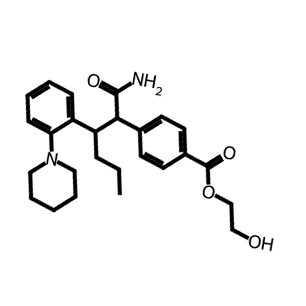 CCCC(c1ccccc1N1CCCCC1)C(C(N)=O)c1ccc(C(=O)OCCO)cc1